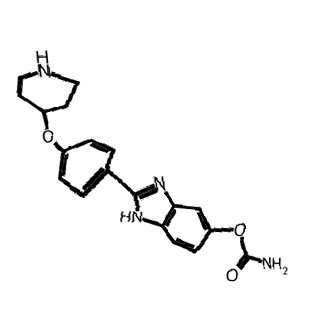 NC(=O)Oc1ccc2[nH]c(-c3ccc(OC4CCNCC4)cc3)nc2c1